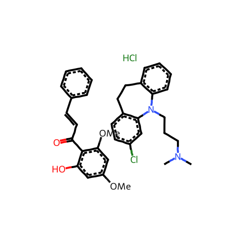 CN(C)CCCN1c2ccccc2CCc2ccc(Cl)cc21.COc1cc(O)c(C(=O)C=Cc2ccccc2)c(OC)c1.Cl